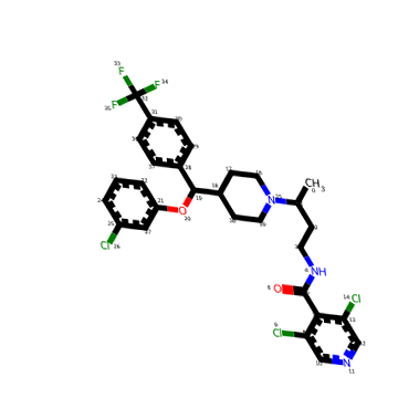 CC(CCNC(=O)c1c(Cl)cncc1Cl)N1CCC(C(Oc2cccc(Cl)c2)c2ccc(C(F)(F)F)cc2)CC1